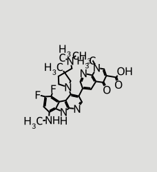 CNc1cc(F)c(F)c2c1[nH]c1ncc(-c3cnc4c(c3)c(=O)c(C(=O)O)cn4C)c(N3CCC(C)(CN(C)C)C3)c12